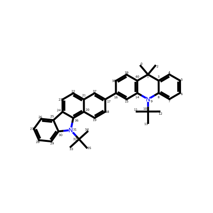 CC1(C)c2ccccc2N(C(C)(C)C)c2cc(-c3ccc4c(ccc5c6ccccc6n(C(C)(C)C)c45)c3)ccc21